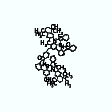 Cc1cc2c3c(c1)N(c1cc4c(cc1C)C(C)(C)CCC4(C)C)c1sc4ccccc4c1B3n1c3c-2cccc3c2oc3cc(Cc4cc5c6c(c4)N(c4cc7c(cc4C)C(C)(C)CCC7(C)C)c4sc7ccccc7c4B6n4c6oc7ccccc7c6c6cccc-5c64)ccc3c21